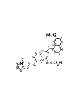 COc1ccc2nccc(CCCC3CCN(CCCc4cncn4C)CC3CCC(=O)O)c2c1